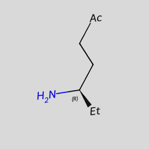 CC[C@@H](N)CCC(C)=O